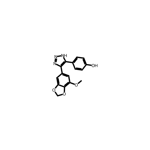 COc1cc(-c2nn[nH]c2-c2ccc(O)cc2)cc2c1OCO2